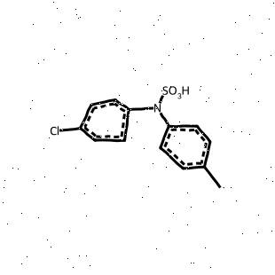 [CH2]c1ccc(N(c2ccc(Cl)cc2)S(=O)(=O)O)cc1